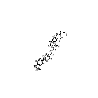 CN1CCc2c(sc3c2C([N])N(CCCN2CCN(c4ccc5c(c4)OCO5)CC2)C=N3)C1